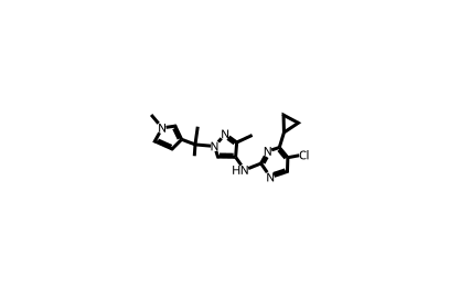 Cc1nn(C(C)(C)c2ccn(C)c2)cc1Nc1ncc(Cl)c(C2CC2)n1